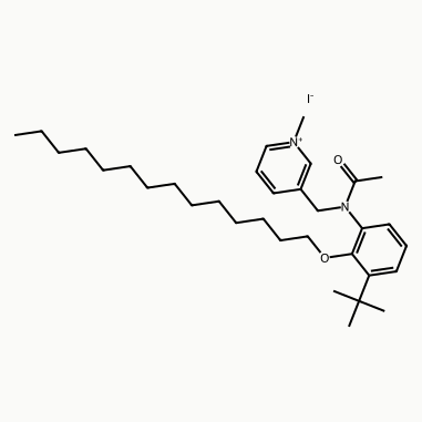 CCCCCCCCCCCCCCOc1c(N(Cc2ccc[n+](C)c2)C(C)=O)cccc1C(C)(C)C.[I-]